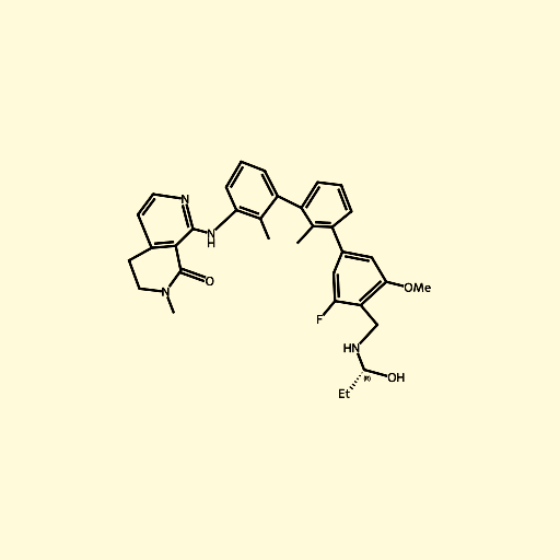 CC[C@@H](O)NCc1c(F)cc(-c2cccc(-c3cccc(Nc4nccc5c4C(=O)N(C)CC5)c3C)c2C)cc1OC